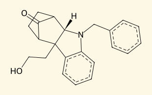 O=C1C2CCC1C1(CCO)c3ccccc3N(Cc3ccccc3)[C@@H]21